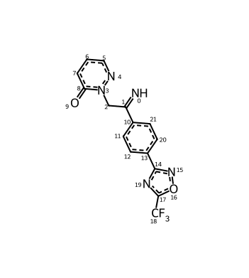 N=C(Cn1ncccc1=O)c1ccc(-c2noc(C(F)(F)F)n2)cc1